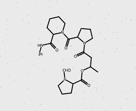 CC(C)NC(=O)C1CCCCN1C(=O)C1CCCN1C(=O)CC(C)OC(=O)C1CCCN1C=O